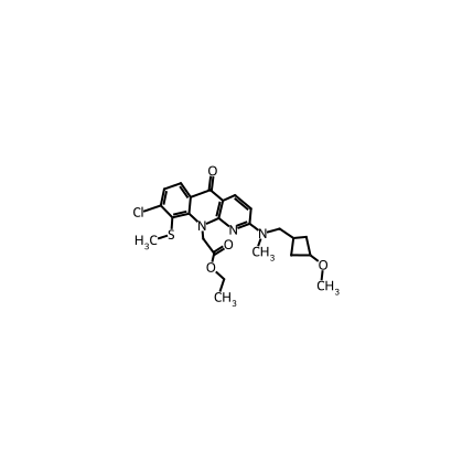 CCOC(=O)Cn1c2nc(N(C)CC3CC(OC)C3)ccc2c(=O)c2ccc(Cl)c(SC)c21